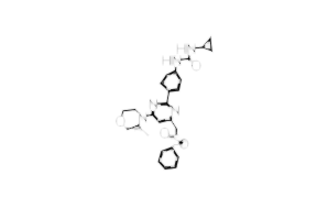 C[C@H]1COCCN1c1cc(CS(=O)(=O)c2ccccc2)nc(-c2ccc(NC(=O)NC3CC3)cc2)n1